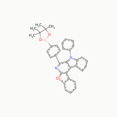 CC1(C)OB(c2ccc(-c3nc4oc5ccccc5c4c4c5ccccc5n(-c5ccccc5)c34)cc2)OC1(C)C